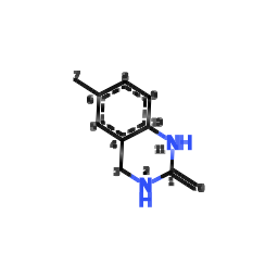 C=C1NCc2cc(C)ccc2N1